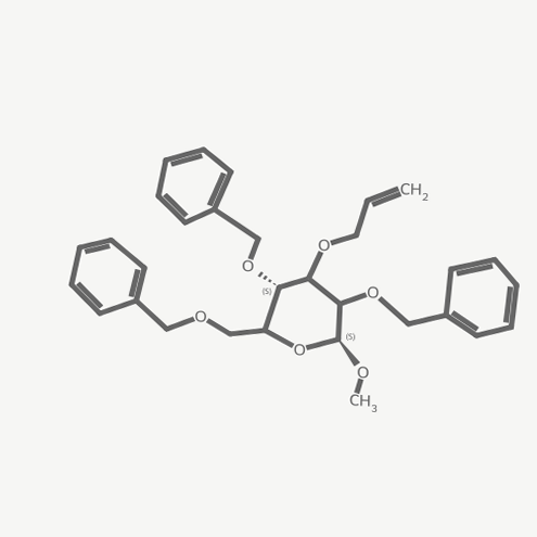 C=CCOC1C(OCc2ccccc2)[C@@H](OC)OC(COCc2ccccc2)[C@@H]1OCc1ccccc1